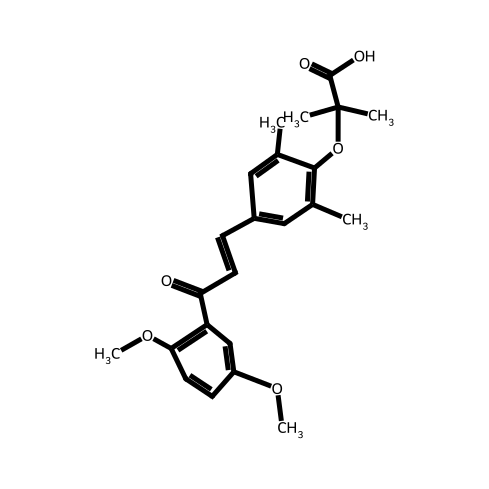 COc1ccc(OC)c(C(=O)/C=C/c2cc(C)c(OC(C)(C)C(=O)O)c(C)c2)c1